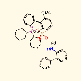 COc1cccc(OC)c1-c1ccccc1[PH](OS(C)(=O)=O)(C1CCCCC1)C1CCCCC1.[Pd][NH]c1ccccc1-c1ccccc1